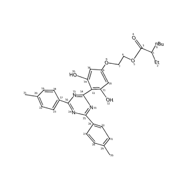 CCCCC(CC)C(=O)OCCOc1cc(O)c(-c2nc(-c3ccc(C)cc3)nc(-c3ccc(C)cc3)n2)c(O)c1